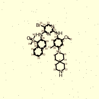 COc1cc(N2CCC3(CCNCC3)CC2)c(C)cc1Nc1ncc(Br)c(Nc2ccc3ccccc3c2P(C)(C)=O)n1